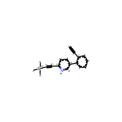 C#Cc1ccccc1-c1ccc(C#C[Si](C)(C)C)nc1